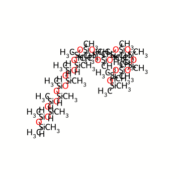 C[SiH](C)O[SiH](C)O[SiH](C)O[SiH](C)O[SiH](C)O[SiH](C)O[SiH](C)O[SiH](C)O[SiH](C)O[Si](C)(C)O[Si](C)(C)O[Si](C)(C)O[Si](C)(C)O[Si](C)(C)O[Si](C)(C)O[Si](C)(C)O[Si](C)(C)O[Si](C)(C)O[Si](C)(C)O[SiH](C)C